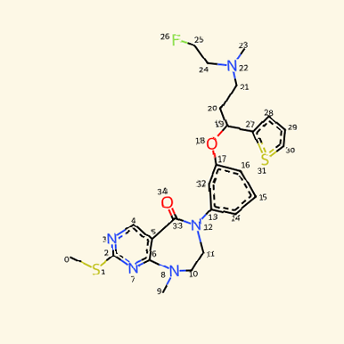 CSc1ncc2c(n1)N(C)CCN(c1cccc(OC(CCN(C)CCF)c3cccs3)c1)C2=O